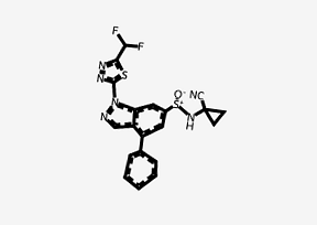 N#CC1(N[S+]([O-])c2cc(-c3ccccc3)c3cnn(-c4nnc(C(F)F)s4)c3c2)CC1